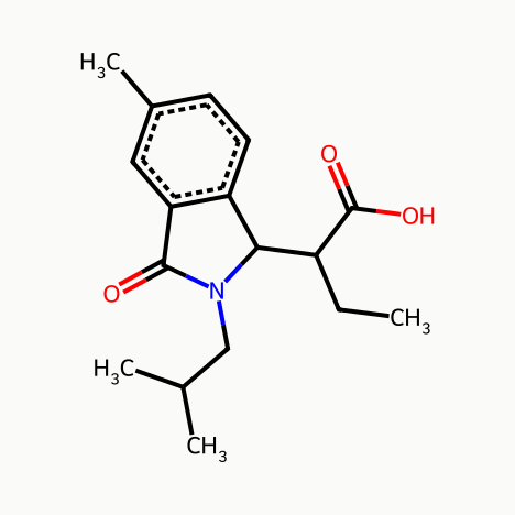 CCC(C(=O)O)C1c2ccc(C)cc2C(=O)N1CC(C)C